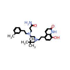 Cc1cccc(CCN(CCC(N)=O)CCN(CCc2ccc(O)c3[nH]c(=O)ccc23)CC(C)(C)C)c1